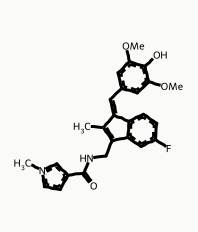 COc1cc(/C=C2/C(C)=C(CNC(=O)c3ccn(C)c3)c3cc(F)ccc32)cc(OC)c1O